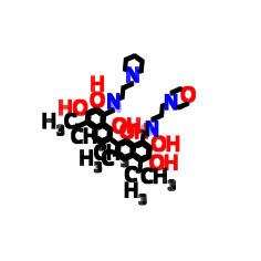 Cc1cc2c(C(C)C)c(O)c(O)c(/C=N/CCCN3CCCCC3)c2c(O)c1-c1c(C)cc2c(C(C)C)c(O)c(O)c(/C=N/CCCN3CCOCC3)c2c1O